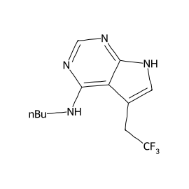 CCCCNc1ncnc2[nH]cc(CC(F)(F)F)c12